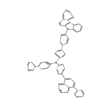 c1ccc(-c2ccc(N(c3ccc(-c4ccc(-n5c6ccccc6c6c7ccccc7ccc65)cc4)cc3)c3ccc(-c4ccc(-c5ccccc5)c5ccccc45)cc3)cc2)cc1